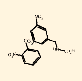 O=C(O)NCc1cccc([N+](=O)[O-])c1.O=C(O)c1ccccc1[N+](=O)[O-]